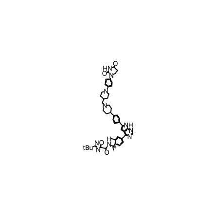 Cc1cc(-c2ncnc3[nH]c(-c4ccc(C5CCN(CC6CCN(c7ccc(N8CCC(=O)NC8=O)cc7)CC6)CC5)cc4)cc23)ccc1[C@@H](C)NC(=O)c1nc(C(C)(C)C)no1